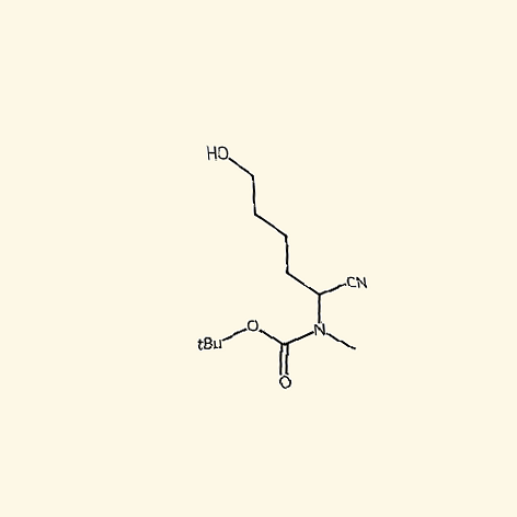 CN(C(=O)OC(C)(C)C)C(C#N)CCCCO